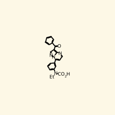 CCN(C(=O)O)c1cccc(-c2ccnc3c(C(=O)c4ccccc4)cnn23)c1